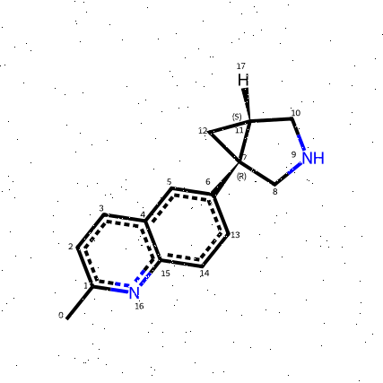 Cc1ccc2cc([C@]34CNC[C@H]3C4)ccc2n1